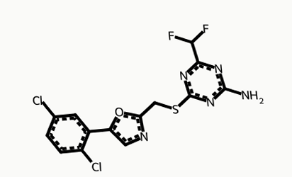 Nc1nc(SCc2ncc(-c3cc(Cl)ccc3Cl)o2)nc(C(F)F)n1